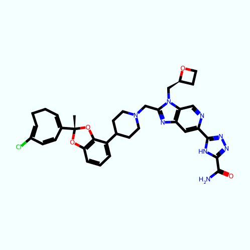 C[C@]1(C2=C/CC/C=C(Cl)/C=C\2)Oc2cccc(C3CCN(Cc4nc5cc(-c6nnc(C(N)=O)[nH]6)ncc5n4C[C@@H]4CCO4)CC3)c2O1